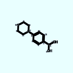 OB(O)c1ccc(N2CCSCC2)cc1